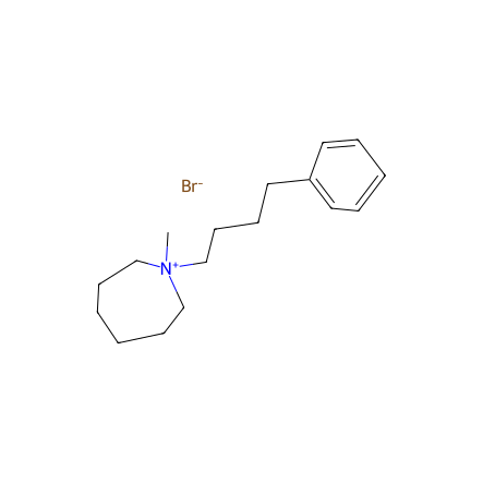 C[N+]1(CCCCc2ccccc2)CCCCCC1.[Br-]